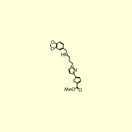 COC(=O)c1ccc(-c2ccn(CCCNCc3ccc4c(c3)OCO4)n2)s1